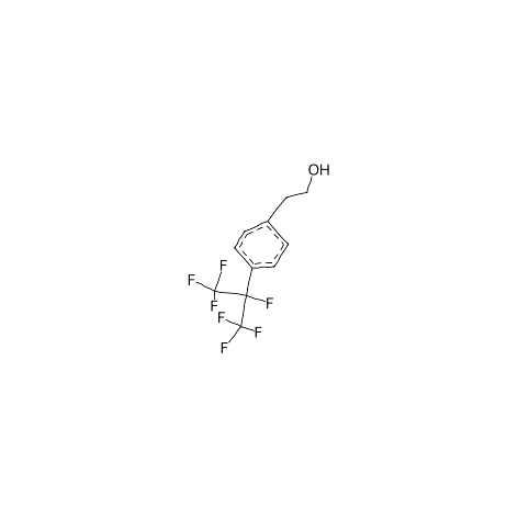 OCCc1ccc(C(F)(C(F)(F)F)C(F)(F)F)cc1